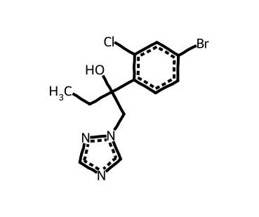 CCC(O)(Cn1cncn1)c1ccc(Br)cc1Cl